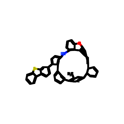 CC1=C2CCC(=C1)C1C=CC=CC1c1ccc3c(c1)oc1cccc(c13)Nc1ccc(-c3ccc4c(c3)sc3ccccc34)c(c1)-c1cccc2c1